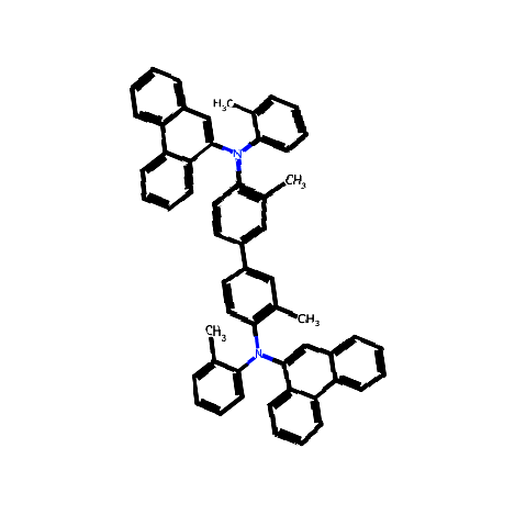 Cc1ccccc1N(c1ccc(-c2ccc(N(c3ccccc3C)c3cc4ccccc4c4ccccc34)c(C)c2)cc1C)c1cc2ccccc2c2ccccc12